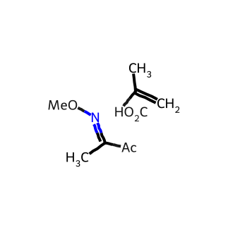 C=C(C)C(=O)O.CON=C(C)C(C)=O